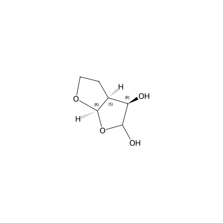 OC1O[C@H]2OCC[C@H]2[C@H]1O